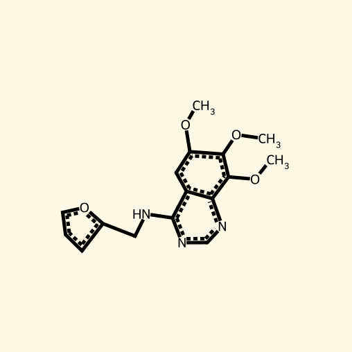 COc1cc2c(NCc3ccco3)ncnc2c(OC)c1OC